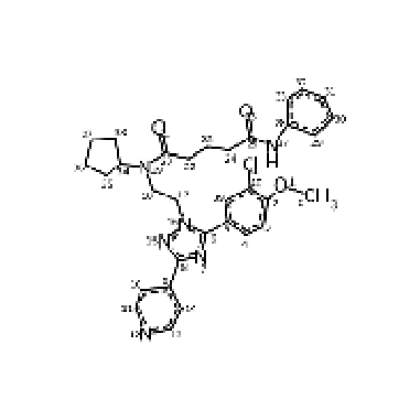 COc1ccc(-c2nc(-c3ccncc3)nn2CCN(C(=O)CCCC(=O)Nc2ccccc2)C2CCCC2)cc1Cl